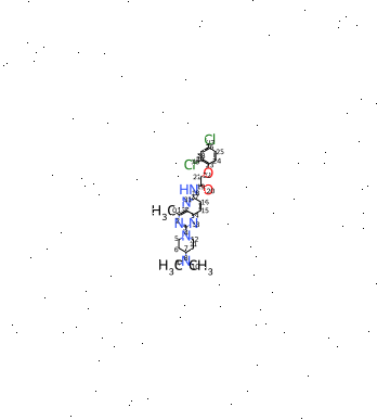 Cc1nc(N2CCC(N(C)C)CC2)nc2ccc(NC(=O)COc3ccc(Cl)cc3Cl)nc12